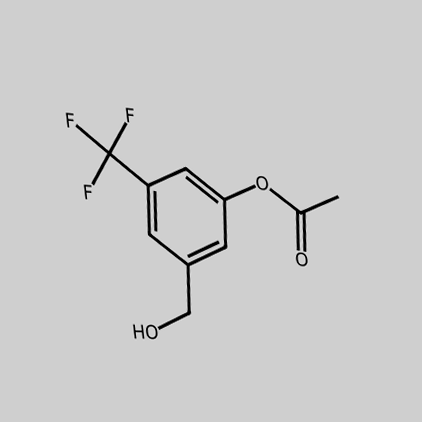 CC(=O)Oc1cc(CO)cc(C(F)(F)F)c1